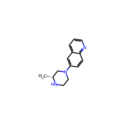 C[C@@H]1CN(c2ccc3ncccc3c2)CCN1